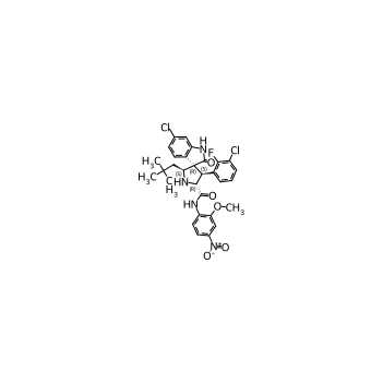 COc1cc([N+](=O)[O-])ccc1NC(=O)[C@@H]1N[C@@H](CC(C)(C)C)[C@@]2(C(=O)Nc3cc(Cl)ccc32)[C@H]1c1cccc(Cl)c1F